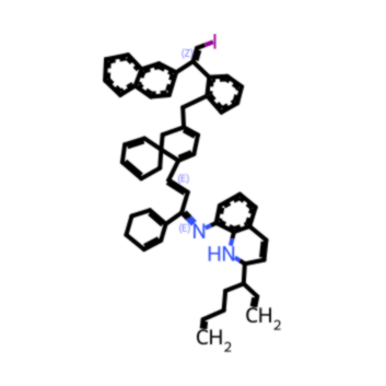 C=CCCC(C=C)C1C=Cc2cccc(/N=C(\C=C\C3=CC=C(Cc4ccccc4/C(=C\I)c4ccc5ccccc5c4)CC34C=CC=CC4)C3=CCCC=C3)c2N1